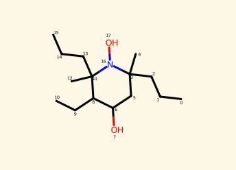 CCCC1(C)CC(O)C(CC)C(C)(CCC)N1O